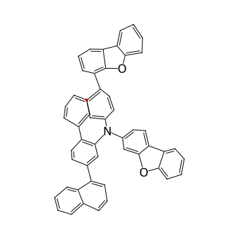 c1ccc(-c2ccc(-c3cccc4ccccc34)cc2N(c2ccc(-c3cccc4c3oc3ccccc34)cc2)c2ccc3c(c2)oc2ccccc23)cc1